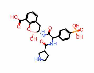 O=C(O)c1cccc2c1OB(O)[C@@H](NC(=O)C(NC(=O)[C@H]1CCNC1)c1ccc(P(=O)(O)O)cc1)C2